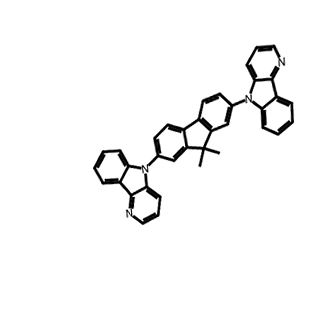 CC1(C)c2cc(-n3c4ccccc4c4ncccc43)ccc2-c2ccc(-n3c4ccccc4c4ncccc43)cc21